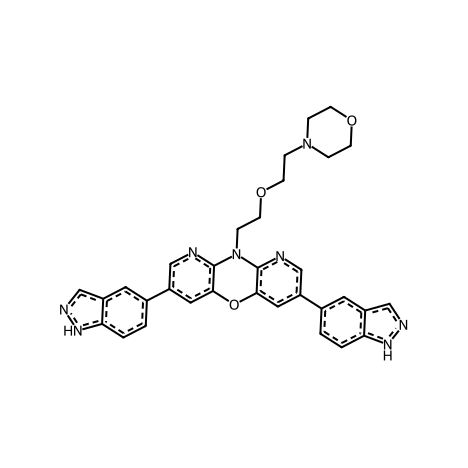 c1cc2[nH]ncc2cc1-c1cnc2c(c1)Oc1cc(-c3ccc4[nH]ncc4c3)cnc1N2CCOCCN1CCOCC1